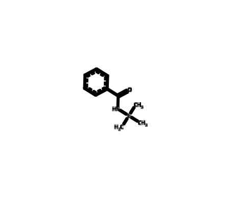 C[Si](C)(C)NC(=O)c1ccccc1